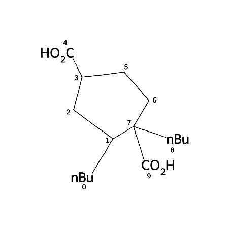 CCCCC1CC(C(=O)O)CCC1(CCCC)C(=O)O